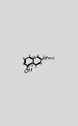 CCCCCc1ccc2c(O)cccc2c1